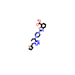 CCC(c1nnnn1Cc1cccs1)N1CCN(c2nc3cccc(C(=O)OC)c3s2)CC1